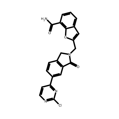 NC(=O)c1cccc2cc(CN3Cc4ccc(-c5ccnc(Cl)n5)cc4C3=O)oc12